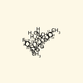 CNC(C)(C)C(=O)N[C@H](COCc1ccc(C)cc1)C(=O)N1CCCC2(C1)C(=O)N(C)CC2c1ccc(F)cc1